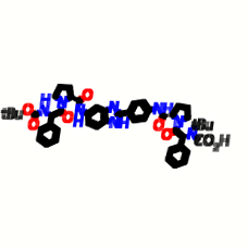 CC(C)(C)OC(=O)N[C@@H](C(=O)N1CCC[C@H]1C(=O)Nc1ccc2[nH]c(-c3ccc(NC(=O)[C@@H]4CCCN4C(=O)[C@@H](c4ccccc4)N(C(=O)O)C(C)(C)C)cc3)nc2c1)c1ccccc1